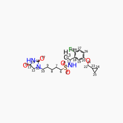 CC(NS(=O)(=O)CCCCCN1CC(=O)NC1=O)c1cc(OCC2CC2)ccc1F